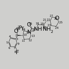 CC(C)OC(c1cccc(F)c1)[C@@H]1CCCN(C(=O)NC[C@H](N)C[C@H]2CCCOC2)C1